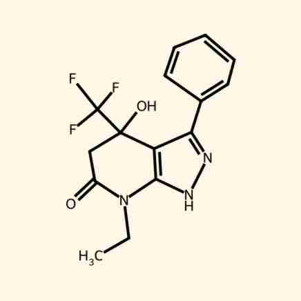 CCN1C(=O)CC(O)(C(F)(F)F)c2c(-c3ccccc3)n[nH]c21